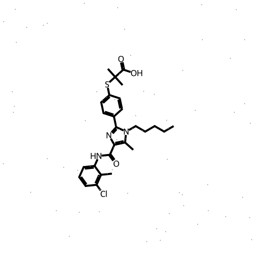 CCCCCn1c(-c2ccc(SC(C)(C)C(=O)O)cc2)nc(C(=O)Nc2cccc(Cl)c2C)c1C